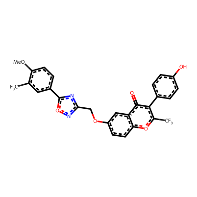 COc1ccc(-c2nc(COc3ccc4oc(C(F)(F)F)c(-c5ccc(O)cc5)c(=O)c4c3)no2)cc1C(F)(F)F